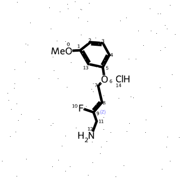 COc1cccc(OC/C=C(\F)CN)c1.Cl